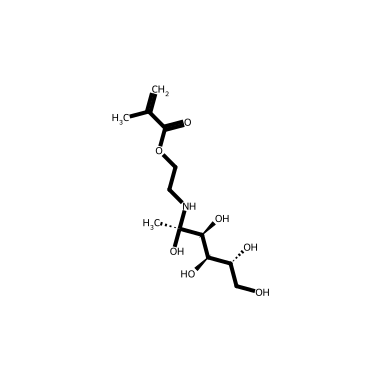 C=C(C)C(=O)OCCN[C@](C)(O)[C@@H](O)[C@H](O)[C@H](O)CO